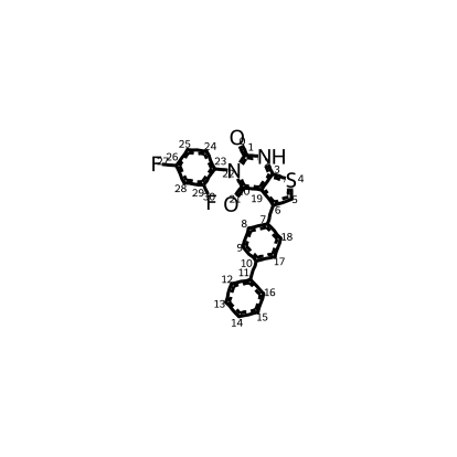 O=c1[nH]c2scc(-c3ccc(-c4ccccc4)cc3)c2c(=O)n1-c1ccc(F)cc1F